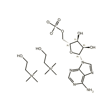 C[N+](C)(C)CCO.C[N+](C)(C)CCO.Nc1ncnc2c1ncn2[C@@H]1O[C@H](COP(=O)([O-])[O-])[C@@H](O)[C@H]1O